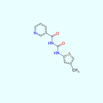 Cc1csc(NC(=O)NC(=O)c2cccnc2)c1